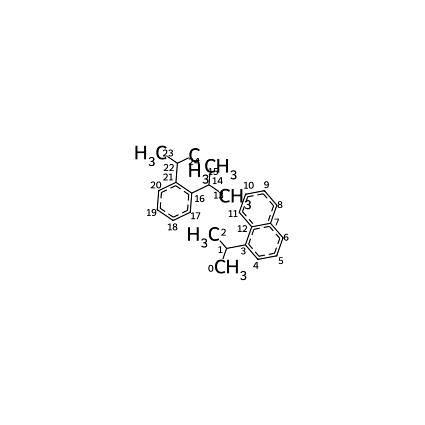 CC(C)c1cccc2ccccc12.CC(C)c1ccccc1C(C)C